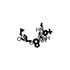 CCSNc1cc(C(C)(C)C)cc(NC(=O)Nc2ccc(OCCN3CCN(CC4CC4)C(=O)C3)c3c2CCC3)c1OC